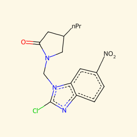 CCCC1CC(=O)N(Cn2c(Cl)nc3ccc([N+](=O)[O-])cc32)C1